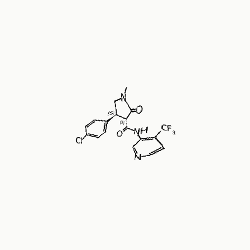 CN1C[C@H](c2ccc(Cl)cc2)[C@@H](C(=O)Nc2cnccc2C(F)(F)F)C1=O